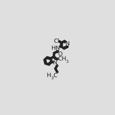 CCCCn1c(C)c(CC(=O)Nc2ccncc2Cl)c2ccccc21